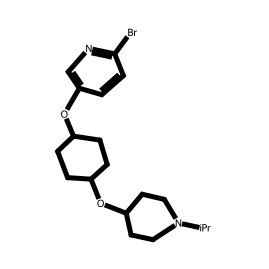 CC(C)N1CCC(OC2CCC(Oc3ccc(Br)nc3)CC2)CC1